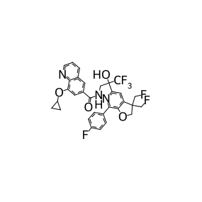 O=C(NCC(O)(c1cc2c(c(-c3ccc(F)cc3)n1)OCC2(CF)CF)C(F)(F)F)c1cc(OC2CC2)c2ncccc2c1